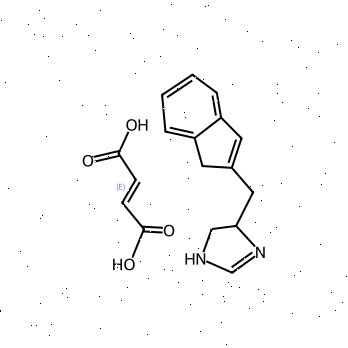 C1=NC(CC2=Cc3ccccc3C2)CN1.O=C(O)/C=C/C(=O)O